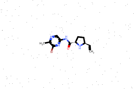 C=C[C@@H]1CC[C@@H](C(=O)Nc2cnc(C)c(Br)n2)N1